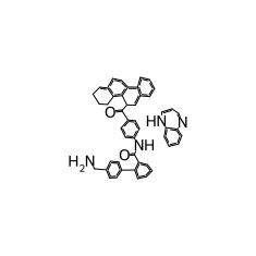 C1=CNc2ccccc2N=C1.NCc1ccc(-c2ccccc2C(=O)Nc2ccc(C(=O)C3C=c4ccccc4=c4ccc5c(c43)CCCC=5)cc2)cc1